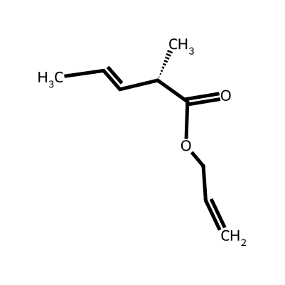 C=CCOC(=O)[C@@H](C)C=CC